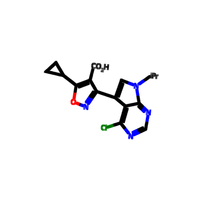 CC(C)n1cc(-c2noc(C3CC3)c2C(=O)O)c2c(Cl)ncnc21